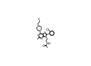 CC(=O)NCCn1c(-c2ccccc2Cl)nc2c(N3CCN(CCF)CC3)nc(C)nc21